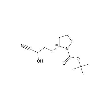 CC(C)(C)OC(=O)N1CCC[C@H]1CCC(O)C#N